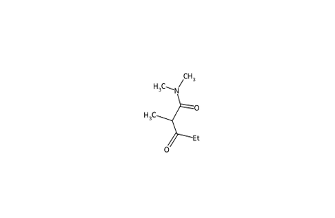 CCC(=O)C(C)C(=O)N(C)C